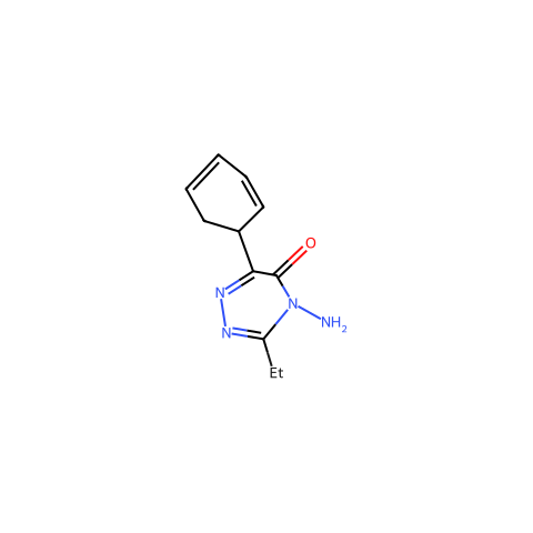 CCc1nnc(C2C=CC=CC2)c(=O)n1N